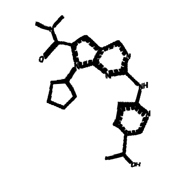 CC(O)c1ccc(Nc2ncc3cc(C(=O)N(C)C)n(C4CCCC4)c3n2)nc1